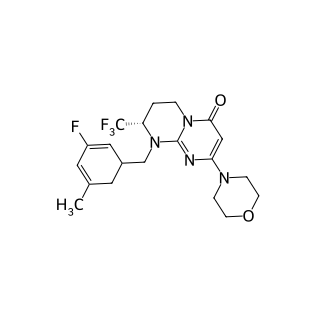 CC1=CC(F)=CC(CN2c3nc(N4CCOCC4)cc(=O)n3CC[C@H]2C(F)(F)F)C1